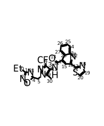 CCc1noc(Cn2nc(C(F)(F)F)c(NC(=O)c3cc(-c4nccs4)nc4ccccc34)c2C)n1